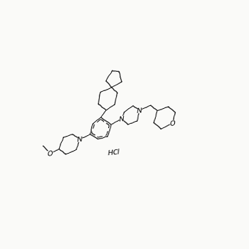 COC1CCN(c2ccc(N3CCN(CC4CCOCC4)CC3)c(C3CCC4(CCCC4)CC3)c2)CC1.Cl